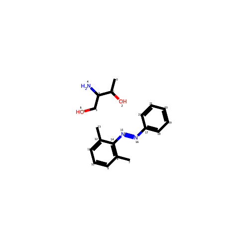 CC(O)C(N)CO.Cc1cccc(C)c1N=Nc1ccccc1